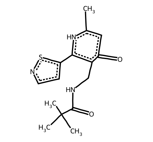 Cc1cc(=O)c(CNC(=O)C(C)(C)C)c(-c2ccns2)[nH]1